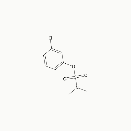 CN(C)S(=O)(=O)Oc1cccc(Cl)c1